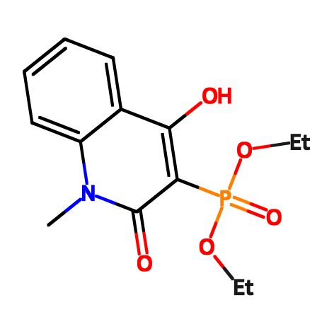 CCOP(=O)(OCC)c1c(O)c2ccccc2n(C)c1=O